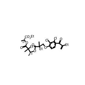 C=C(CC)C(=O)c1ccc(OCC(C)(CC)C(=O)O[C@@H](C)C(C)(CC)C(=O)O[C@@H](C)C(=O)OCC)c(Cl)c1Cl